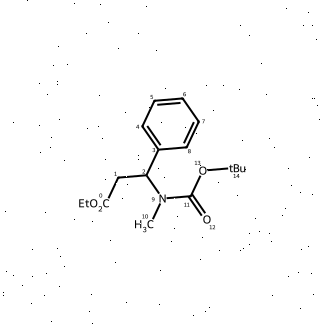 CCOC(=O)CC(c1ccccc1)N(C)C(=O)OC(C)(C)C